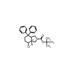 CC(C)(C)OC(=O)N1CC2[C@H](C1)C(Cl)CCC2(c1ccccc1)c1ccccc1